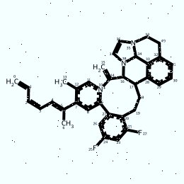 C=C/C=C\C=C(/C)c1cc2[n+](cc1C)C(=C)C1C(CCc3c(F)cc(F)cc3-2)c2cccc3c2C2N(C=CN12)CC3